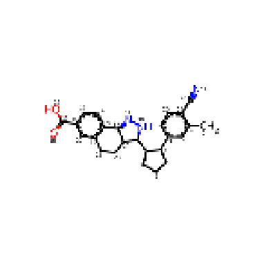 Cc1cc(C2CCCC2C2NN=C3c4ccc(C(=O)O)cc4CCC32)ccc1C#N